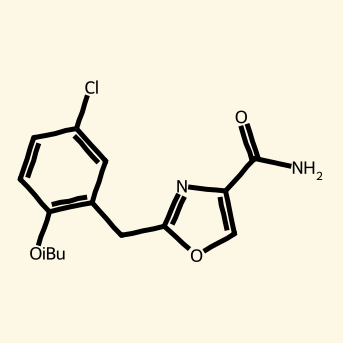 CC(C)COc1ccc(Cl)cc1Cc1nc(C(N)=O)co1